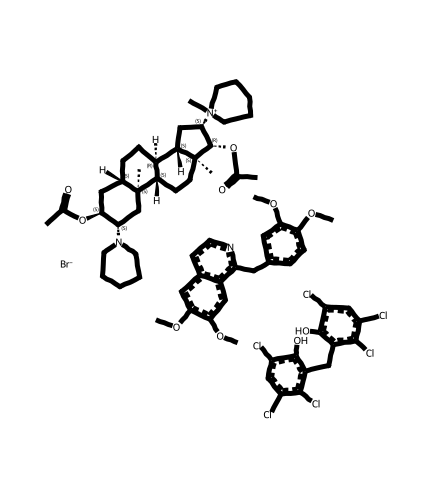 CC(=O)O[C@H]1C[C@@H]2CC[C@@H]3[C@H](CC[C@@]4(C)[C@H]3C[C@H]([N+]3(C)CCCCC3)[C@@H]4OC(C)=O)[C@@]2(C)C[C@@H]1N1CCCCC1.COc1ccc(Cc2nccc3cc(OC)c(OC)cc23)cc1OC.Oc1c(Cl)cc(Cl)c(Cl)c1Cc1c(O)c(Cl)cc(Cl)c1Cl.[Br-]